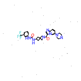 CN1CCN(c2ccc3ncc(C(=O)N4CC5(CC(NC(=O)Nc6cccc(C(F)(F)F)c6)C5)C4)n3c2)CC1